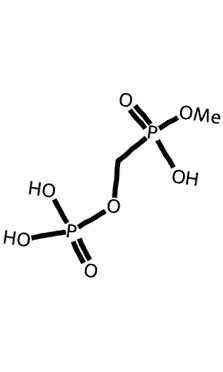 COP(=O)(O)COP(=O)(O)O